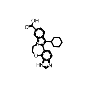 O=C(O)c1ccc2c(C3CCCCC3)c3n(c2c1)CCOc1c-3ccc2nc[nH]c12